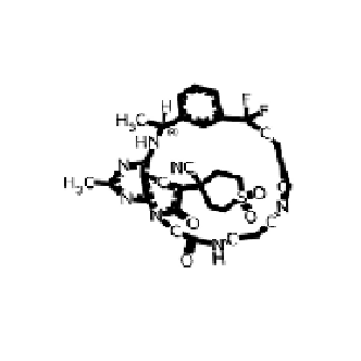 Cc1nc2c3cc(C4(C#N)CCS(=O)(=O)CC4)c(=O)n(c3n1)CC(=O)NCCCN1CC(CCC(F)(F)c3cccc(c3)[C@@H](C)N2)C1